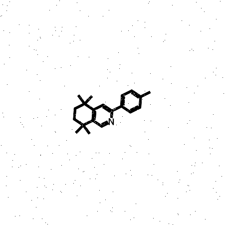 Cc1ccc(-c2cc3c(cn2)C(C)(C)CCC3(C)C)cc1